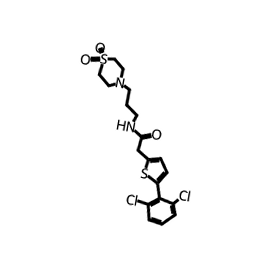 O=C(Cc1ccc(-c2c(Cl)cccc2Cl)s1)NCCCN1CCS(=O)(=O)CC1